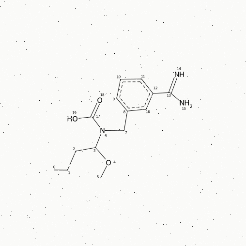 CCCC(OC)N(Cc1cccc(C(=N)N)c1)C(=O)O